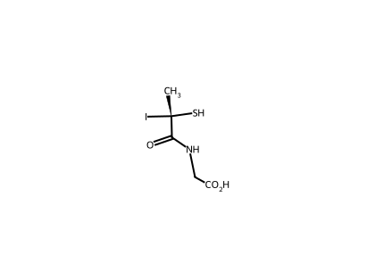 C[C@](S)(I)C(=O)NCC(=O)O